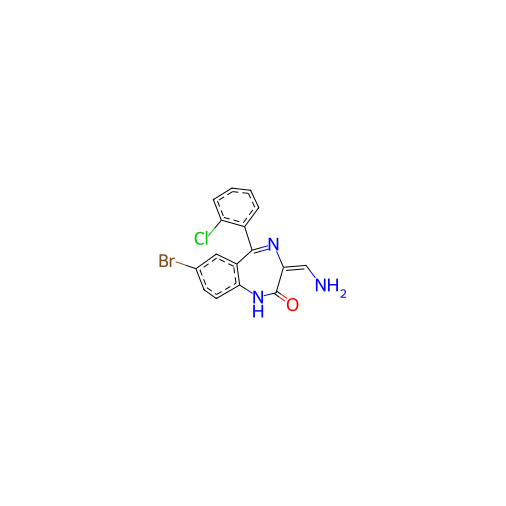 NC=C1N=C(c2ccccc2Cl)c2cc(Br)ccc2NC1=O